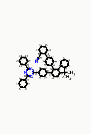 CC1(C)c2ccccc2-c2c1ccc(-c1ccc(-c3nc(-c4ccccc4)nc(-c4ccccc4)n3)cc1)c2-c1ccc(-c2ccccc2C#N)cc1